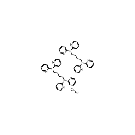 [Cl][Au].c1ccc(P(CCCCP(c2ccccn2)c2ccccn2)c2ccccn2)nc1.c1ccc(P(CCCCP(c2ccccn2)c2ccccn2)c2ccccn2)nc1